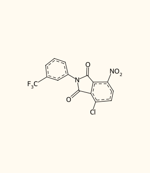 O=C1c2c(Cl)ccc([N+](=O)[O-])c2C(=O)N1c1cccc(C(F)(F)F)c1